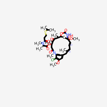 COc1cc2cc(c1Cl)N(C)C(=O)CC(OC(=O)[C@H](C)N(C)C(=O)CCSC(C)C)C1(C)OC1C(C)C1CC(O)(NC(=O)O1)C(OC)/C=C/C=C(\C)C2